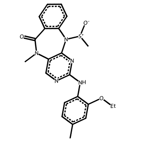 CCOc1cc(C)ccc1Nc1ncc2c(n1)N([S+](C)[O-])c1ccccc1C(=O)N2C